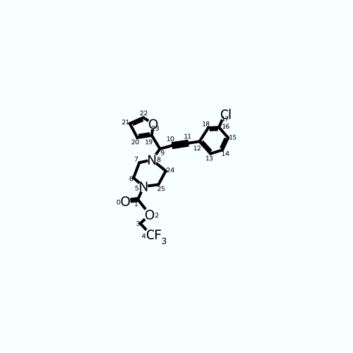 O=C(OCC(F)(F)F)N1CCN(C(C#Cc2cccc(Cl)c2)c2ccco2)CC1